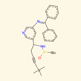 CC(C)(C)[S+]([O-])NC(CC#C[Si](C)(C)C)c1cncc(N=C(c2ccccc2)c2ccccc2)c1